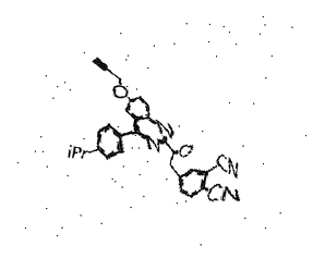 C#CCOc1ccc2nc(C(=O)Cc3ccc(C#N)c(C#N)c3)nc(-c3ccc(C(C)C)cc3)c2c1